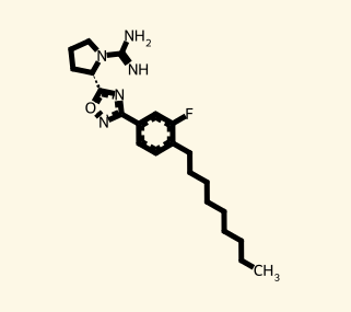 CCCCCCCCCc1ccc(-c2noc([C@@H]3CCCN3C(=N)N)n2)cc1F